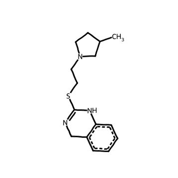 CC1CCN(CCSC2=NCc3ccccc3N2)C1